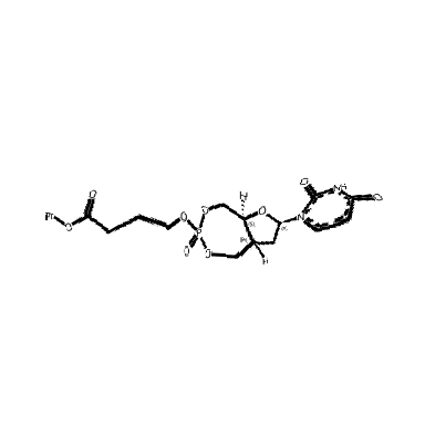 CC(C)OC(=O)CCCOP1(=O)OC[C@H]2C[C@H](n3ccc(=O)[nH]c3=O)O[C@@H]2CO1